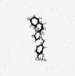 COc1ccc(CN2CC[n+]3c2ccc2ccccc23)cc1